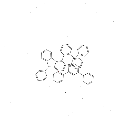 c1ccc(-c2cc(-c3ccccc3)nc(-n3c4ccccc4c4cccc(-c5c(-c6ccccc6)ccc6c5c5ccccc5n6-c5ccccc5)c43)n2)cc1